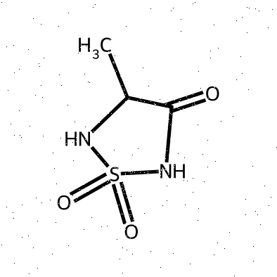 CC1NS(=O)(=O)NC1=O